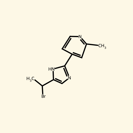 Cc1cc(-c2ncc(C(C)Br)[nH]2)ccn1